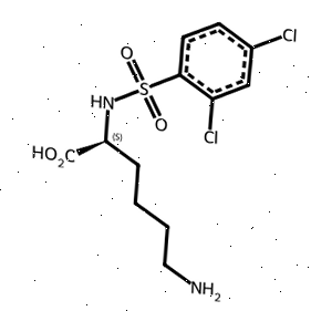 NCCCC[C@H](NS(=O)(=O)c1ccc(Cl)cc1Cl)C(=O)O